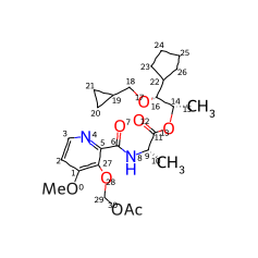 COc1ccnc(C(=O)N[C@@H](C)C(=O)O[C@@H](C)[C@H](OCC2CC2)C2CCCC2)c1OCOC(C)=O